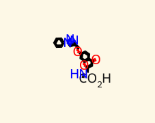 O=C(O)NCc1cc(=O)c2ccc(OCc3cn(-c4ccccc4)nn3)cc2o1